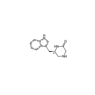 O=C1CNC[C@@H](Cc2c[nH]c3ccccc23)N1